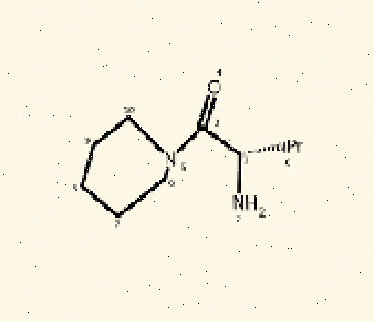 CC(C)[C@H](N)C(=O)N1CC[CH]CC1